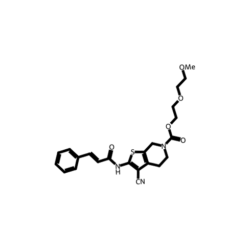 COCCOCCOC(=O)N1CCc2c(sc(NC(=O)C=Cc3ccccc3)c2C#N)C1